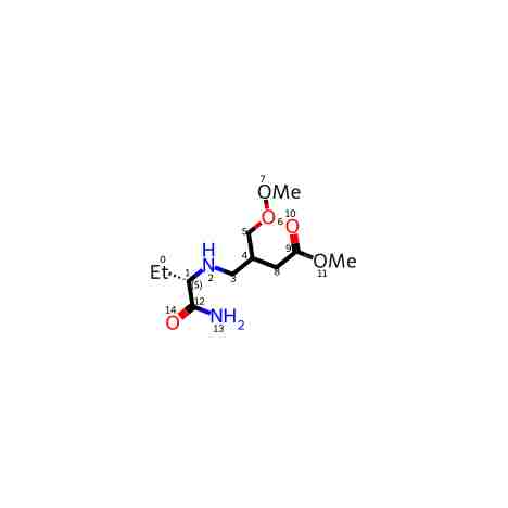 CC[C@H](NCC(COOC)CC(=O)OC)C(N)=O